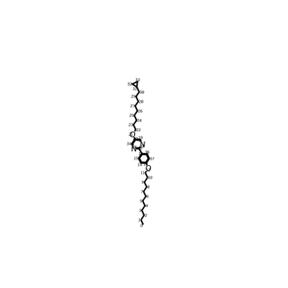 CCCCCCCCCCCCOc1ccc(-c2ncc(OCCCCCCCCCC3CC3)cn2)cc1